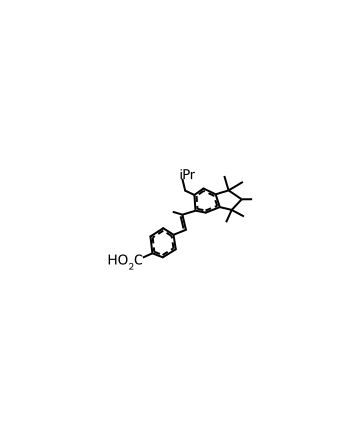 CC(=Cc1ccc(C(=O)O)cc1)c1cc2c(cc1CC(C)C)C(C)(C)C(C)C2(C)C